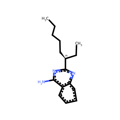 CCCCC[C@@H](CC)c1nc(N)c2ccccc2n1